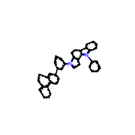 c1ccc(-n2c3ccccc3c3ccc4c(ccn4-c4cccc(-c5ccc6c(ccc7ccccc76)c5)c4)c32)cc1